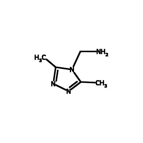 Cc1nnc(C)n1CN